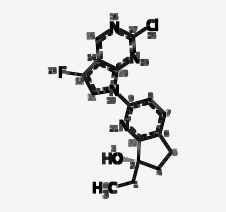 CC[C@]1(O)CCc2ccc(-n3cc(F)c4cnc(Cl)nc43)nc21